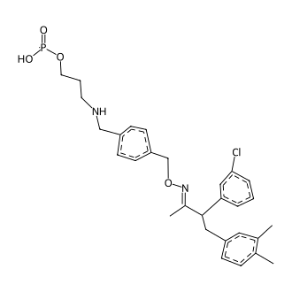 C/C(=N\OCc1ccc(CNCCCO[P](=O)O)cc1)C(Cc1ccc(C)c(C)c1)c1cccc(Cl)c1